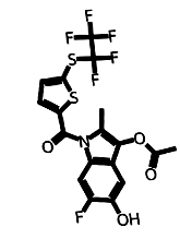 CC(=O)Oc1c(C)n(C(=O)c2ccc(SC(F)(F)C(F)(F)F)s2)c2cc(F)c(O)cc12